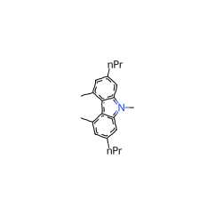 CCCc1cc(C)c2c3c(C)cc(CCC)cc3n(C)c2c1